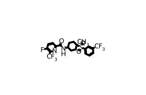 CC1(S(=O)(=O)c2cccc(C(F)(F)F)c2)CCC(NC(=O)c2ccc(F)c(C(F)(F)F)n2)CC1